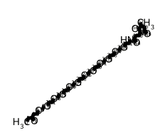 CCC(=O)CCOCCOCCOCCOCCOCCOCCOCCOCCOCCOCCOCCOCCNC(=O)CCN1C(=O)CC(C)C1=O